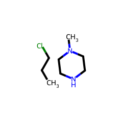 CCCCl.CN1CCNCC1